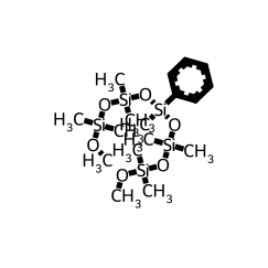 CO[Si](C)(C)O[Si](C)(C)O[Si](C)(O[Si](C)(C)O[Si](C)(C)OC)c1ccccc1